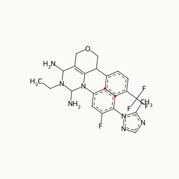 CCN1C(N)C2=C(C(c3ccc(C(F)(F)F)cc3)COC2)N(c2ccc(-n3ncnc3C)c(F)c2)C1N